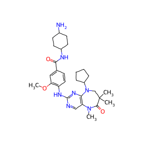 COc1cc(C(=O)NC2CCC(N)CC2)ccc1Nc1ncc2c(n1)N(C1CCCC1)CC(C)(C)C(=O)N2C